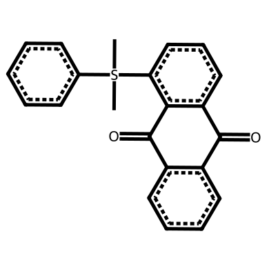 CS(C)(c1ccccc1)c1cccc2c1C(=O)c1ccccc1C2=O